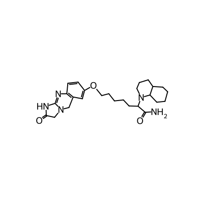 NC(=O)C(CCCCCOc1ccc2c(c1)CN1CC(=O)NC1=N2)N1CCCC2CCCCC21